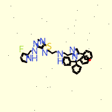 Fc1cccnc1CNc1ncnc2sc(CCNCCc3ncc(-c4ccccc4)n3C(c3ccccc3)(c3ccccc3)c3ccccc3)nc12